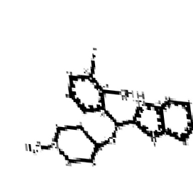 CN1CCC(O[C@H](c2nc3ccccc3[nH]2)c2cccc(F)c2O)CC1